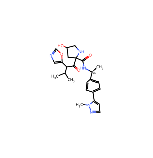 CC(C)C(C(=O)C1(C(=O)N[C@@H](C)c2ccc(-c3ccnn3C)cc2)CC(O)CN1)c1cnco1